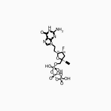 C#C[C@@]1(COP(=O)(O)OP(=O)(O)OP(=O)(O)O)C[C@@H](F)[C@H](CCn2cnc3c(=O)[nH]c(N)nc32)O1